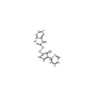 CCn1c(SCC(=O)Nc2ccccc2F)nnc1-c1cccnc1